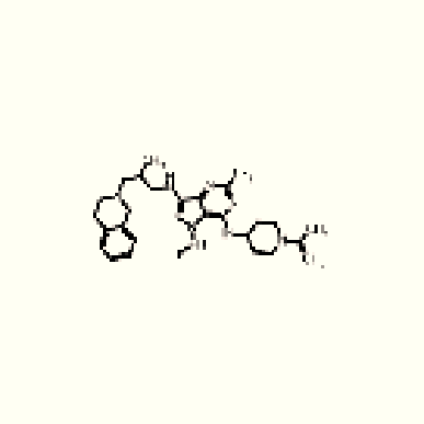 C=C(C)N1CCC(Nc2nc(C(F)(F)F)nc3c(NCC(C)CN4CCc5ccccc5C4)nn(PI)c23)CC1